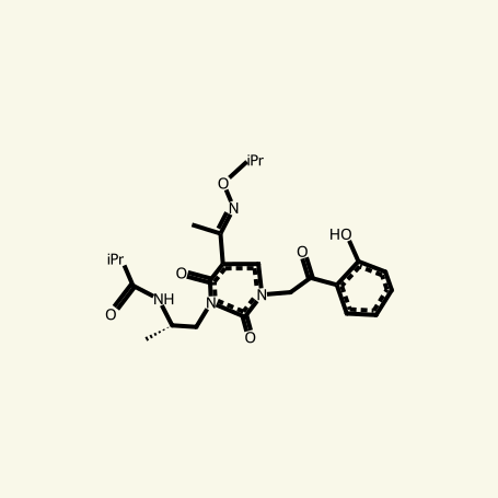 C/C(=N\OC(C)C)c1cn(CC(=O)c2ccccc2O)c(=O)n(C[C@H](C)NC(=O)C(C)C)c1=O